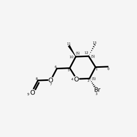 CC1[C@H](Br)OC(COC=O)[C@@H](C)[C@@H]1C